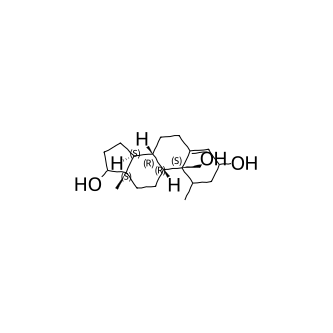 CC1CC(O)C=C2CC[C@@H]3[C@@H](CC[C@]4(C)C(O)CC[C@@H]34)[C@]21CO